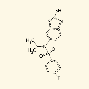 CC(C)N(c1ccc2nc(S)sc2c1)S(=O)(=O)c1ccc(F)cc1